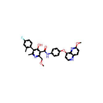 COCc1nc(C)c(-c2ccc(F)cc2C)c(O)c1C(=O)Nc1ccc(Oc2ccnc3ccc(OC)nc23)cc1